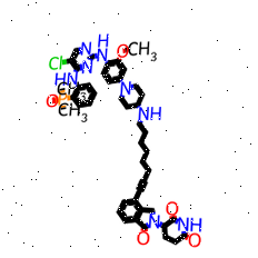 COc1cc(N2CCC(NCCCCCCC#Cc3cccc4c3CN(C3CCC(=O)NC3=O)C4=O)CC2)ccc1Nc1ncc(Cl)c(Nc2ccccc2P(C)(C)=O)n1